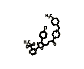 CN1CCC(CN2CCN(C(=O)CCc3oc(-n4ccnc4S(C)(=O)=O)nc3-c3ccc(Cl)cc3)CC2)CC1